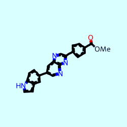 COC(=O)c1ccc(-c2cnc3cc(-c4ccc5[nH]ccc5c4)cnc3n2)cc1